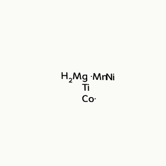 [Co].[MgH2].[Mn].[Ni].[Ti]